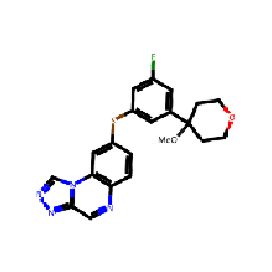 COC1(c2cc(F)cc(Sc3ccc4ncc5nncn5c4c3)c2)CCOCC1